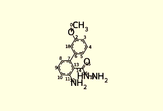 COc1cccc(-c2cccc(N)c2C(=O)NN)c1